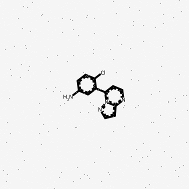 Nc1ccc(Cl)c(-c2ccnc3ccnn23)c1